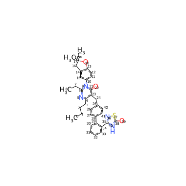 CCCCc1nc(CC)n(-c2ccc3c(c2)CC(C)(C)O3)c(=O)c1Cc1ccc(-c2ccccc2-c2nsc(=O)[nH]2)cc1